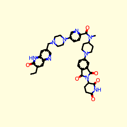 CCc1cc2ncc(CN3CCN(c4ccc(C(=O)N(C)C5CCN(c6ccc7c(c6)C(=O)N(C6CCC(=O)NC6=O)C7=O)CC5)nc4)CC3)cc2[nH]c1=O